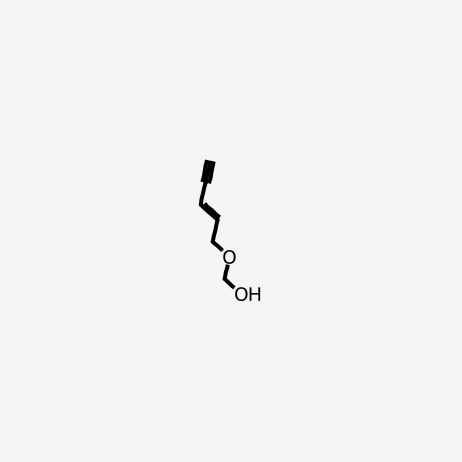 C#CC=CCOCO